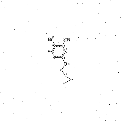 N#Cc1cc(OCC2CC2)ccc1Br